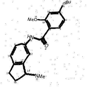 CCCCc1ccc(C(=O)Nc2ccc3c(c2)C(NC)CC3)c(OC)c1